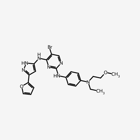 CCN(CCOC)c1ccc(Nc2ncc(Br)c(Nc3cc(-c4ccco4)n[nH]3)n2)cc1